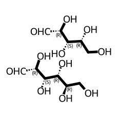 O=C[C@H](O)[C@@H](O)[C@H](O)CO.O=C[C@H](O)[C@@H](O)[C@H](O)[C@H](O)CO